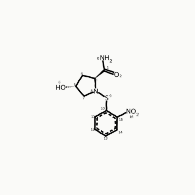 NC(=O)[C@@H]1C[C@@H](O)CN1Sc1ccccc1[N+](=O)[O-]